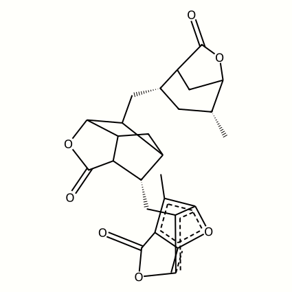 Cc1c2c3oc1c(C[C@H]1C4CC5C(OC(=O)C51)C4C[C@H]1C[C@@H](C)C4CC1C(=O)O4)c3OC2=O